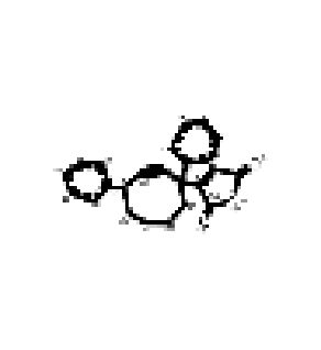 O=C1C=C(C2(c3ccccc3)C#CC(c3ccccc3)CCCC2)C(=O)N1